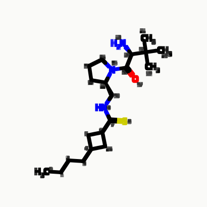 CCCCC1CC(C(=S)NC[C@H]2CCCN2C(=O)[C@@H](N)C(C)(C)C)C1